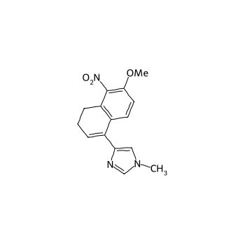 COc1ccc2c(c1[N+](=O)[O-])CCC=C2c1cn(C)cn1